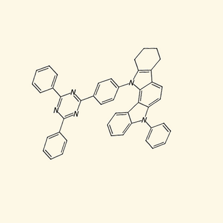 c1ccc(-c2nc(-c3ccccc3)nc(-c3ccc(-n4c5c(c6ccc7c(c8ccccc8n7-c7ccccc7)c64)CCCC5)cc3)n2)cc1